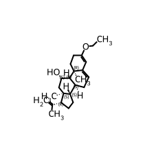 C=C(C)[C@H]1CC[C@H]2[C@@H]3CC=C4C=C(OCC)CC[C@]4(C)[C@H]3[C@@H](O)C[C@]12C